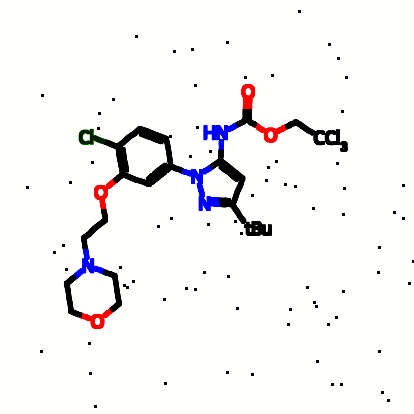 CC(C)(C)c1cc(NC(=O)OCC(Cl)(Cl)Cl)n(-c2ccc(Cl)c(OCCN3CCOCC3)c2)n1